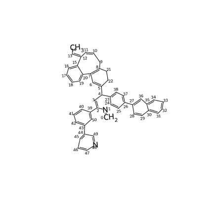 C=N/C(=C\C(C1=CC2=C(C/C=C\C(=C/C)c3ccccc32)CC1)c1ccc(-c2ccc3ccccc3c2)cc1)c1cccc(-c2cccnc2)c1